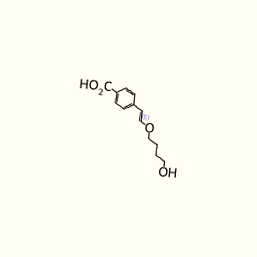 O=C(O)c1ccc(/C=C/OCCCCO)cc1